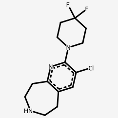 FC1(F)CCN(c2nc3c(cc2Cl)CCNCC3)CC1